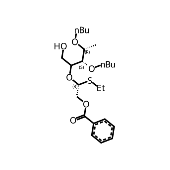 CCCCO[C@H](C(CO)O[C@@H](COC(=O)c1ccccc1)SCC)[C@@H](C)OCCCC